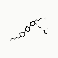 C=CC(=O)OCCOc1cc(-c2ccc(C3CCC(CCCCC)CC3)cc2)ccc1CCCO